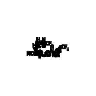 Cc1c(CN2CCC(Nc3ncnc4sc(CC(F)(F)F)cc34)CC2)ccc2c1cc(C#N)n2CC12CC(NC(=O)C(N)C(F)(F)F)(C1)[C@H]2C